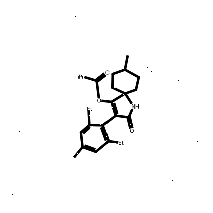 CCc1cc(C)cc(CC)c1C1=C(OC(=O)C(C)C)C2(CCC(C)CC2)NC1=O